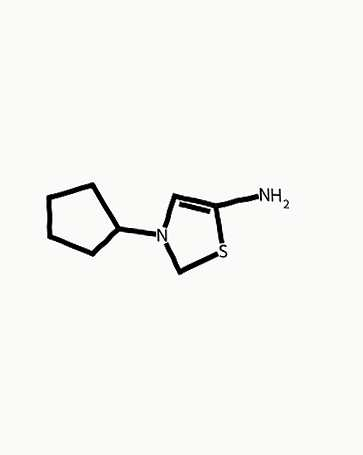 NC1=CN(C2CCCC2)CS1